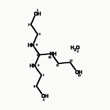 O.OCCN[C](NCCO)NCCO